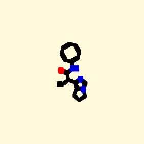 CC(C)[C@@H](C(=O)NC1=C/C=C\C=C/C=C\1)c1ncn2c1CCC2